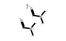 CN(C)C=O.CN(C)C=O.[Ti]